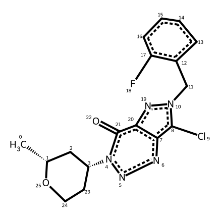 C[C@@H]1C[C@H](n2nnc3c(Cl)n(Cc4ccccc4F)nc3c2=O)CCO1